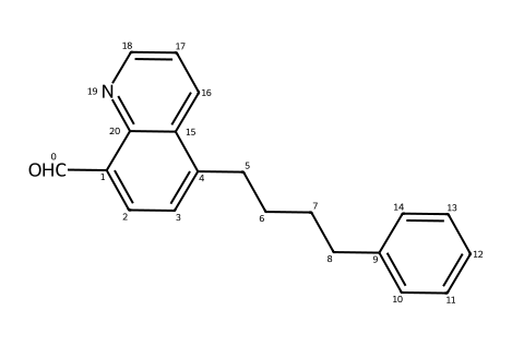 O=Cc1ccc(CCCCc2ccccc2)c2cccnc12